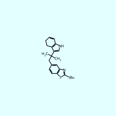 CC(C)(C)c1nc2cc(CC(C)(C)c3c[nH]c4c3CCC=C4)ccc2s1